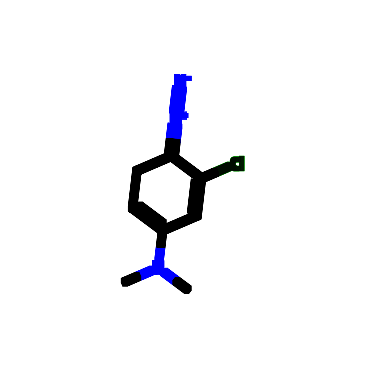 CN(C)C1=CCC(=[N+]=[N-])C(Cl)=C1